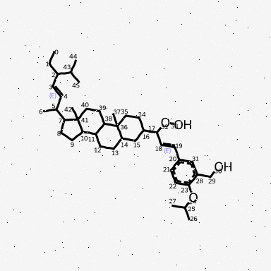 CCC(/C=C/C(C)C1CCC2C3CCC4CC(C(/C=C/c5ccc(OC(C)C)c(CO)c5)OO)CCC4(C)C3CCC12C)C(C)C